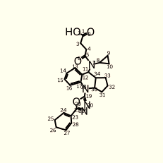 O=C(O)CCC(=O)N(C1CC1)C1c2ccccc2N(c2nnc(C3=CCCC=C3)o2)C2CCCC21